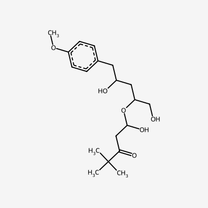 COc1ccc(CC(O)CC(CO)OC(O)CC(=O)C(C)(C)C)cc1